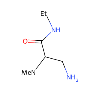 CCNC(=O)C(CN)NC